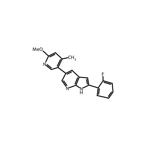 COc1cc(C)c(-c2cnc3[nH]c(-c4ccccc4F)cc3c2)cn1